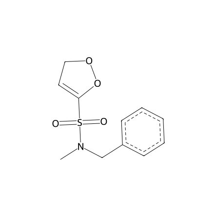 CN(Cc1ccccc1)S(=O)(=O)C1=CCOO1